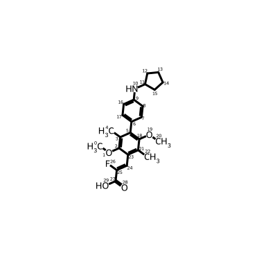 COc1c(C)c(-c2ccc(NC3CCCC3)cc2)c(OC)c(C)c1/C=C(\F)C(=O)O